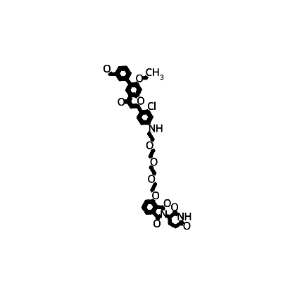 CCOc1cc2oc(-c3ccc(NCCOCCOCCOCCOc4cccc5c4C(=O)N(C4CCC(=O)NC4=O)C5=O)cc3Cl)cc(=O)c2cc1-c1cccc(C=O)c1